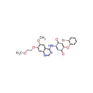 COCCOc1cc2ncnc(NC3=CC(=O)C(Oc4ccccc4Br)=CC3=O)c2cc1OC